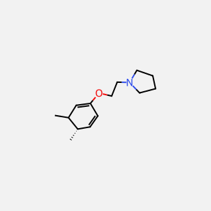 CC1C=C(OCCN2CCCC2)C=C[C@@H]1C